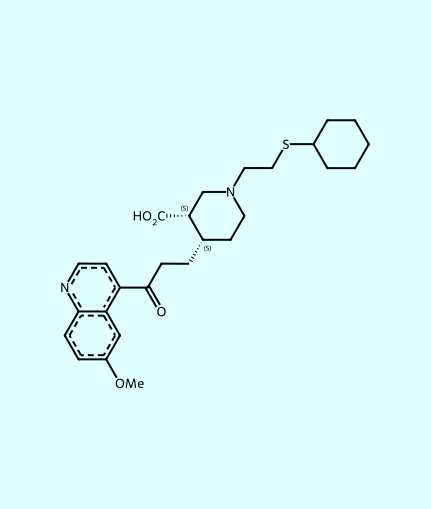 COc1ccc2nccc(C(=O)CC[C@H]3CCN(CCSC4CCCCC4)C[C@H]3C(=O)O)c2c1